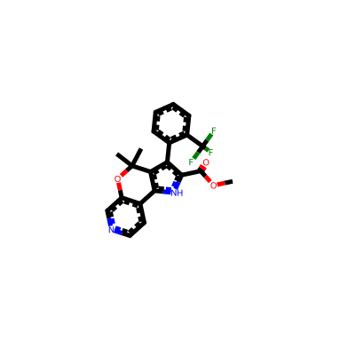 COC(=O)c1[nH]c2c(c1-c1ccccc1C(F)(F)F)C(C)(C)Oc1cnccc1-2